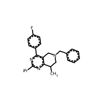 CC(C)c1nc(-c2ccc(F)cc2)c2c(n1)C(C)CN(Cc1ccccc1)C2